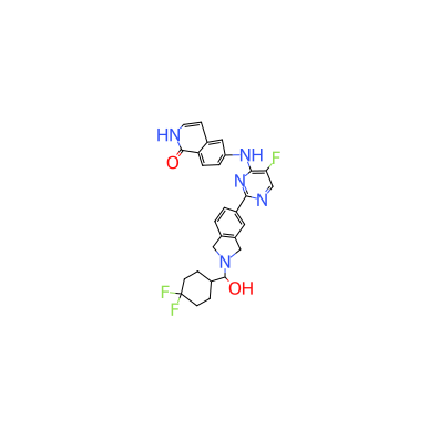 O=c1[nH]ccc2cc(Nc3nc(-c4ccc5c(c4)CN(C(O)C4CCC(F)(F)CC4)C5)ncc3F)ccc12